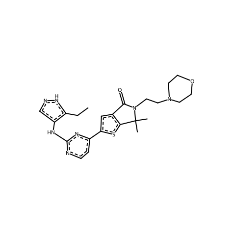 CCc1[nH]ncc1Nc1nccc(-c2cc3c(s2)C(C)(C)N(CCN2CCOCC2)C3=O)n1